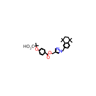 CC(C)(Oc1ccc(C(=O)OCc2cnn(Cc3ccc4c(c3)C(C)(C)CCC4(C)C)c2)cc1)C(=O)O